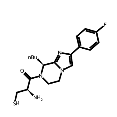 CCCC[C@H]1c2nc(-c3ccc(F)cc3)cn2CCN1C(=O)[C@@H](N)CS